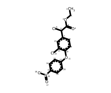 CCOC(=O)C(Cl)c1ccc(Oc2ccc([N+](=O)[O-])cc2)c(Cl)c1